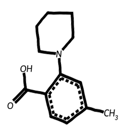 Cc1ccc(C(=O)O)c(N2CCCCC2)c1